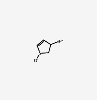 CC(C)C1C=C[S+]([O-])C1